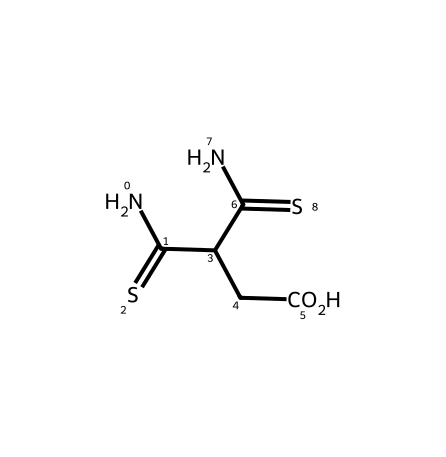 NC(=S)C(CC(=O)O)C(N)=S